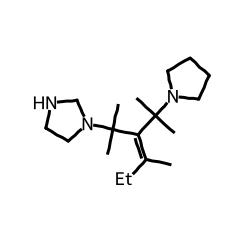 CCC(C)=C(C(C)(C)N1CCCC1)C(C)(C)N1CCNC1